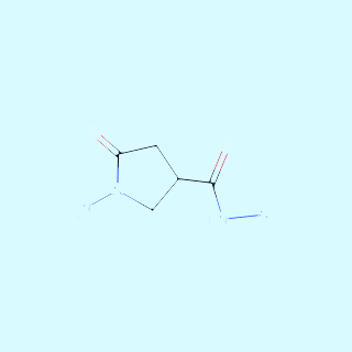 NNC(=O)C1CC(=O)N(N)C1